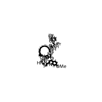 COc1ccc2c(O[C@@H]3C[C@H]4C(=O)N[C@]5(C(=O)O)CC5/C=C\CCCCC[C@H](NC(=O)N[C@H](CN5CCN(C(C)C)S5(=O)=O)C(C)C)C(=O)N4C3)cc(-c3csc(NC(C)C)n3)nc2c1